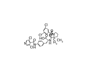 C[C@H]1CCN(S(=O)(=O)c2cc(Cl)cc(Cl)c2)C1(C)C(=O)N[C@@H](Cc1ccc(NC(=O)c2c(Cl)cncc2Cl)cc1)C(=O)O